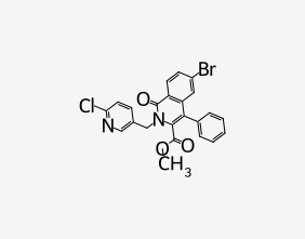 COC(=O)c1c(-c2ccccc2)c2cc(Br)ccc2c(=O)n1Cc1ccc(Cl)nc1